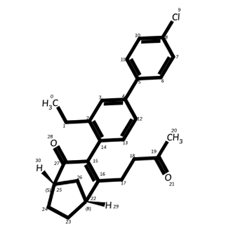 CCc1cc(-c2ccc(Cl)cc2)ccc1C1=C(CCC(C)=O)[C@@H]2CC[C@@H](C2)C1=O